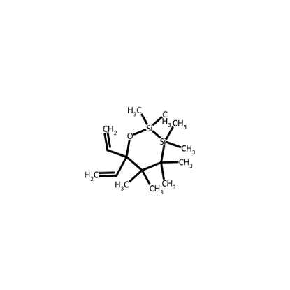 C=CC1(C=C)O[Si](C)(C)[Si](C)(C)C(C)(C)C1(C)C